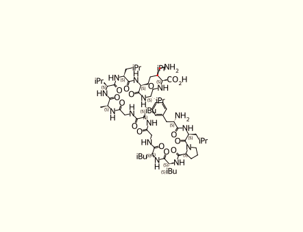 CC[C@H](C)[C@H](NC(=O)CNC(=O)[C@@H](NC(=O)[C@@H](NC(=O)[C@@H]1CCCN1C(=O)[C@H](CC(C)C)NC(=O)[C@@H](N)Cc1ccccc1)[C@@H](C)CC)[C@@H](C)CC)C(=O)NCC(=O)N[C@@H](C)C(=O)N[C@H](C(=O)N[C@@H](CC(C)C)C(=O)N[C@@H](CCCCN)C(=O)N[C@H](C(=O)N[C@@H](CC(C)C)C(=O)O)C(C)C)C(C)C